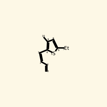 C=C/C=C\c1sc(CC)cc1C